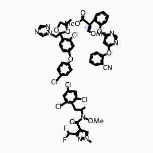 CC1COC(Cn2cncn2)(c2ccc(Oc3ccc(Cl)cc3)cc2Cl)O1.CO/C=C(/C(=O)OC)c1ccccc1Oc1cc(Oc2ccccc2C#N)ncn1.CON(C(=O)c1cn(C)nc1C(F)F)C(C)Cc1c(Cl)cc(Cl)cc1Cl